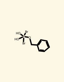 OP(O)(Br)(Br)OCc1ccccc1